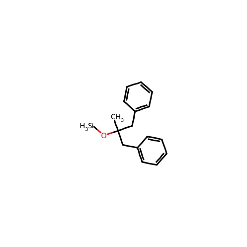 CC(Cc1ccccc1)(Cc1ccccc1)O[SiH3]